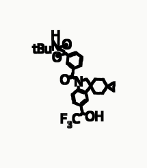 CC(C)(C)NS(=O)(=O)c1cccc(C(=O)N2CC3(CCC4(CC4)CC3)c3cc(C(O)C(F)(F)F)ccc32)c1